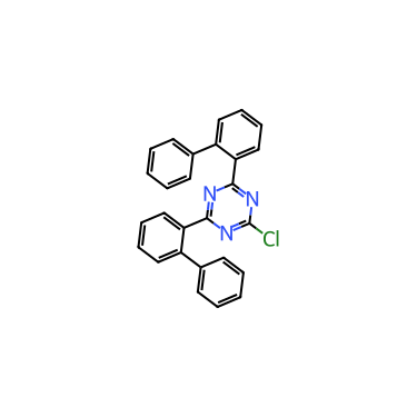 Clc1nc(-c2ccccc2-c2ccccc2)nc(-c2ccccc2-c2ccccc2)n1